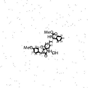 COC(=O)N[C@@H](CCN1CCC2(CC1)NC(=O)N(Cc1ccc(OC)cc1)C2=O)c1ccccc1.Cl